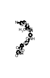 CNc1cc(N2CCc3cc(C#N)cnc32)ncc1-c1nnc([C@H]2CC[C@H](NC(=O)CN3CCN(c4ccc5c(c4)C(=O)N(C4CCC(=O)NC4=O)C5=O)CC3)CC2)s1